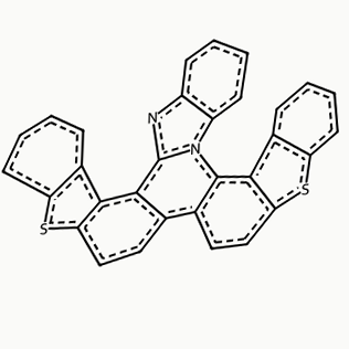 c1ccc2c(c1)nc1c3c(ccc4sc5ccccc5c43)c3ccc4sc5ccccc5c4c3n21